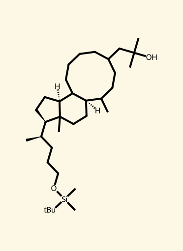 CC1CCC(CC(C)(C)O)CCCCC2[C@@H]1CCC1(C)[C@@H]([C@H](C)CCCO[Si](C)(C)C(C)(C)C)CC[C@@H]21